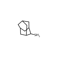 [SiH3]C1C2CC3CC(C2)CC1C3